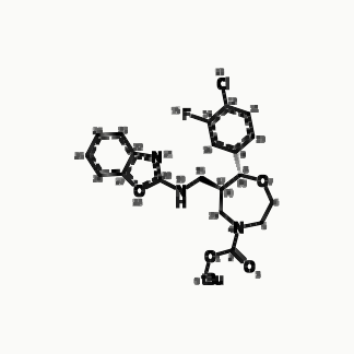 CC(C)(C)OC(=O)N1CCO[C@@H](c2ccc(Cl)c(F)c2)[C@H](CNc2nc3ccccc3o2)C1